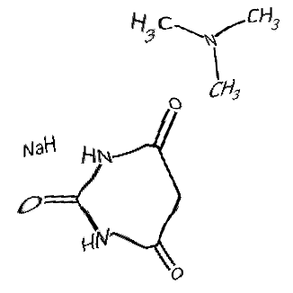 CN(C)C.O=C1CC(=O)NC(=O)N1.[NaH]